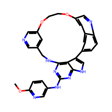 COc1ccc(Nc2nc3c4c(c[nH]c4n2)-c2ccc4ncc(cc4c2)OCCOc2cncc(c2)CN3)cn1